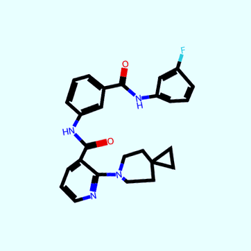 O=C(Nc1cccc(F)c1)c1cccc(NC(=O)c2cccnc2N2CCC3(CC2)CC3)c1